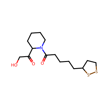 O=C(CO)C1CCCCN1C(=O)CCCCC1CCSS1